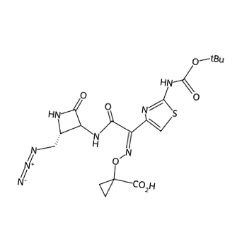 CC(C)(C)OC(=O)Nc1nc(/C(=N/OC2(C(=O)O)CC2)C(=O)NC2C(=O)N[C@H]2CN=[N+]=[N-])cs1